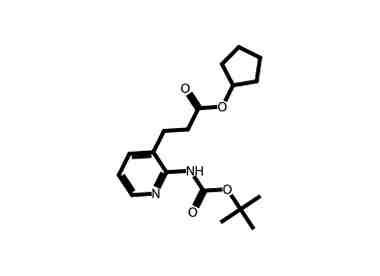 CC(C)(C)OC(=O)Nc1ncccc1CCC(=O)OC1CCCC1